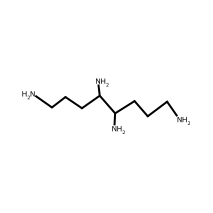 NCCCC(N)C(N)CCCN